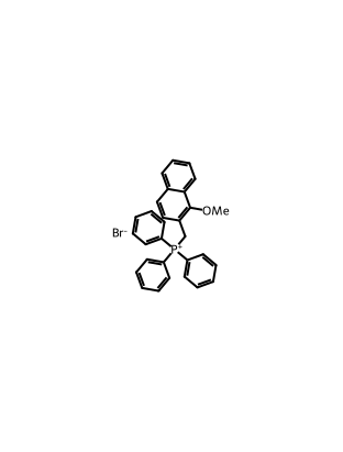 COc1c(C[P+](c2ccccc2)(c2ccccc2)c2ccccc2)ccc2ccccc12.[Br-]